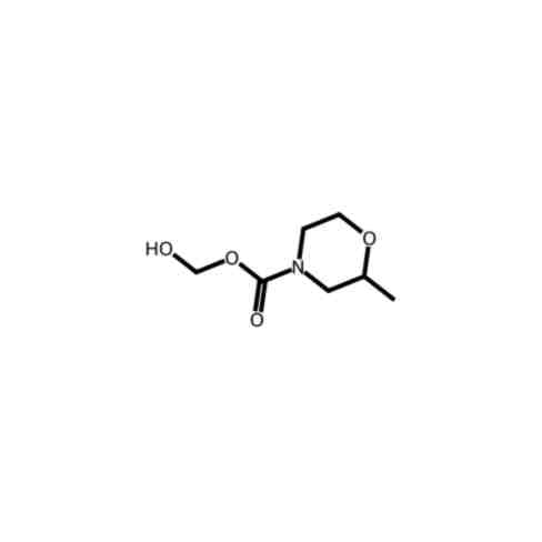 CC1CN(C(=O)OCO)CCO1